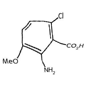 COc1ccc(Cl)c(C(=O)O)c1N